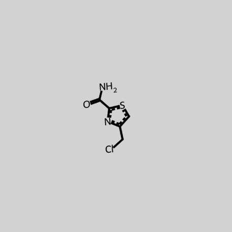 NC(=O)c1nc(CCl)cs1